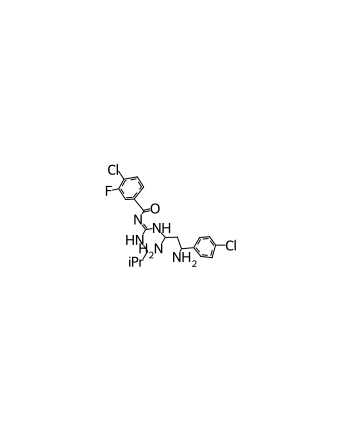 CC(C)CN/C(=N/C(=O)c1ccc(Cl)c(F)c1)NC(N)CC(N)c1ccc(Cl)cc1